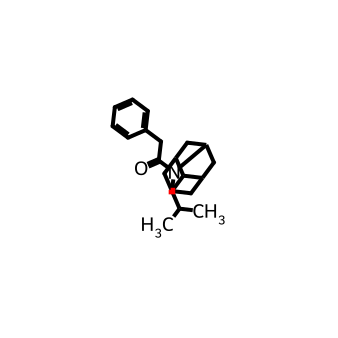 CC(C)CC1C2CC3CC1CC(C2)N3C(=O)Cc1ccccc1